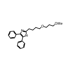 COCCCOCCCCC1=NC(c2ccccc2)=C(c2ccccc2)[N]1